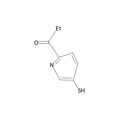 CCC(=O)c1ccc(S)cn1